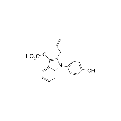 C=C(C)Cc1c(OC(=O)O)c2ccccc2n1-c1ccc(O)cc1